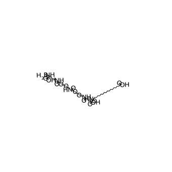 BN[C@@H](CCCCNC(=O)COCCOCCNC(=O)COCCOCCNC(=O)CC[C@H](NC(=O)CCCCCCCCCCCCCCCCC(=O)O)C(=O)O)C(=O)O